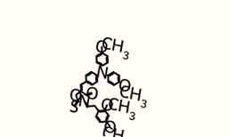 COc1ccc(N(c2ccc(/C=C3/OC(=S)N(CCc4ccc(OC)cc4OC)C3=O)cc2)c2ccc(OC)cc2)cc1